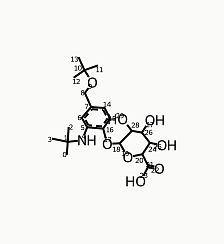 CC(C)(C)Nc1cc(COC(C)(C)C)ccc1OC1OC(C(=O)O)C(O)C(O)C1O